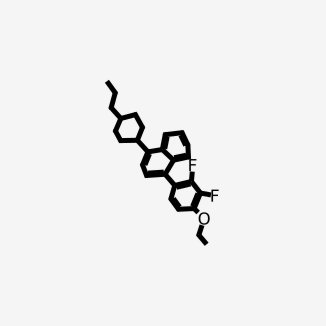 CCCC1CCC(c2ccc(-c3ccc(OCC)c(F)c3F)c3ccccc23)CC1